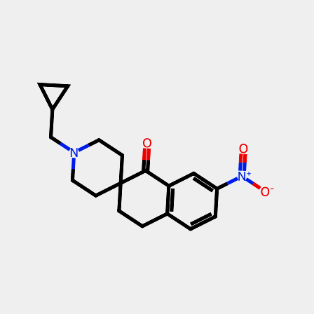 O=C1c2cc([N+](=O)[O-])ccc2CCC12CCN(CC1CC1)CC2